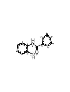 O=C(Nc1ccccc1O)c1ccccc1